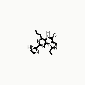 CCCc1nc(-c2ncc[nH]2)nc2c1[nH]c(=O)c1cnc(CC)n12